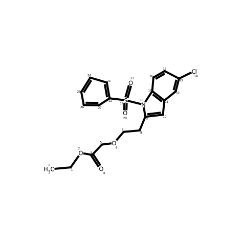 CCOC(=O)COCCc1cc2cc(Cl)ccc2n1S(=O)(=O)c1ccccc1